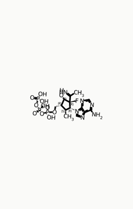 CC(=N)[C@@]1(F)[C@H](O)[C@@H](COP(=O)(O)OP(=O)(O)OP(=O)(O)O)[C@H](C)[C@H]1n1cnc2c(N)ncnc21